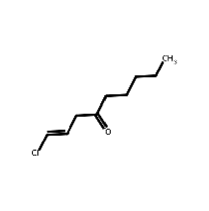 CCCCCC(=O)CC=CCl